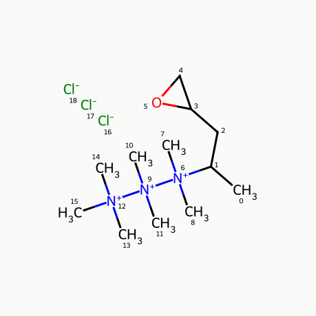 CC(CC1CO1)[N+](C)(C)[N+](C)(C)[N+](C)(C)C.[Cl-].[Cl-].[Cl-]